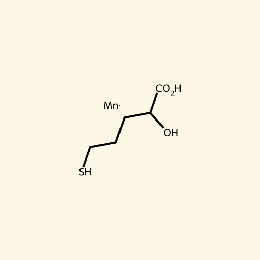 O=C(O)C(O)CCCS.[Mn]